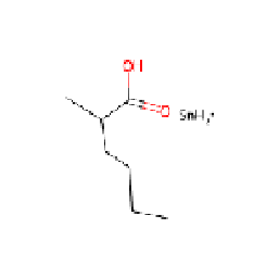 CCCCC(C)C(=O)O.[SnH2]